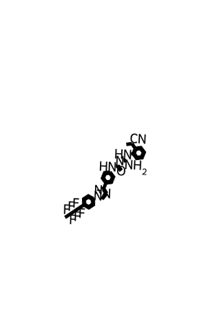 CC(C#N)c1ccccc1N/C(N)=N/C(=O)Nc1ccc(-c2ncn(-c3ccc(C(F)(F)C(F)(F)C(C)(F)F)cc3)n2)cc1